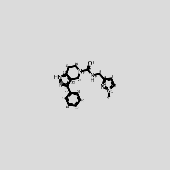 Cn1ccc(CNC(=O)N2CCc3[nH]nc(-c4ccccc4)c3C2)n1